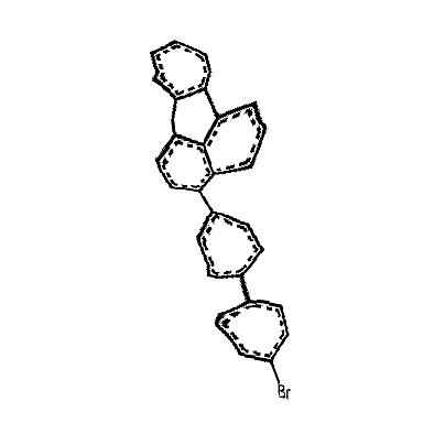 Brc1ccc(-c2ccc(-c3ccc4c5c(cccc35)-c3ccccc3-4)cc2)cc1